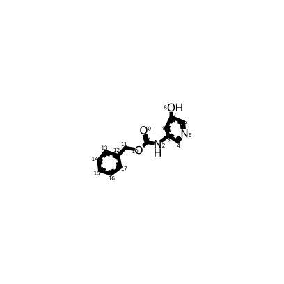 O=C(Nc1cncc(O)c1)OCc1ccccc1